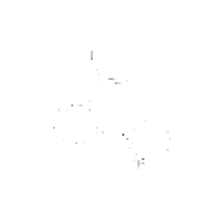 NC(=O)c1sccc1-n1ccnn1